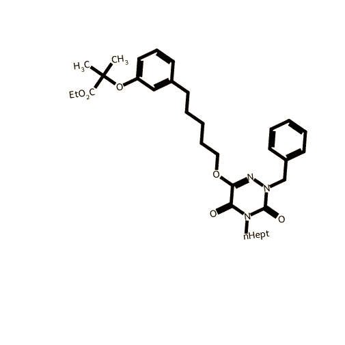 CCCCCCCn1c(=O)c(OCCCCCc2cccc(OC(C)(C)C(=O)OCC)c2)nn(Cc2ccccc2)c1=O